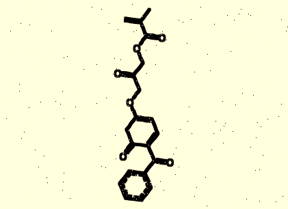 C=C(C)C(=O)OCC(=O)COC1=CC=C(C(=O)c2ccccc2)C(=O)C1